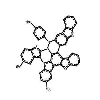 CC(C)(C)c1ccc(N2B3c4sc5ccc(C(C)(C)C)cc5c4-n4c5ccc(C(C)(C)C)cc5c5c6oc7ccccc7c6c(c3c54)-c3cc4sc5ccccc5c4cc32)cc1